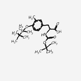 Cc1cc(CC(NC(=O)OC(C)(C)C)C(=O)O)ccc1O[Si](C)(C)C(C)(C)C